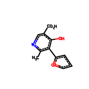 Cc1ncc(C(=O)O)c(O)c1-c1ccco1